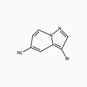 N#Cc1ccn2ncc(Br)c2c1